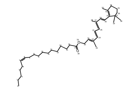 CCCCC/C=C\CCCCCCCCCCC(=O)OCC=C(C)C=CC=C(C)C=CC1=C(C)CCCC1(C)C